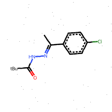 CC(=NNC(=O)C(C)(C)C)c1ccc(Cl)cc1